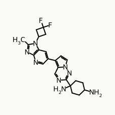 Cc1nc2ncc(-c3ccn4nc(C5(N)CCC(N)CC5)ncc34)cc2n1C1CC(F)(F)C1